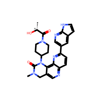 C[C@@H](O)C(=O)N1CCC(N2C(=O)N(C)Cc3cnc4ccc(-c5cnc6[nH]ccc6c5)nc4c32)CC1